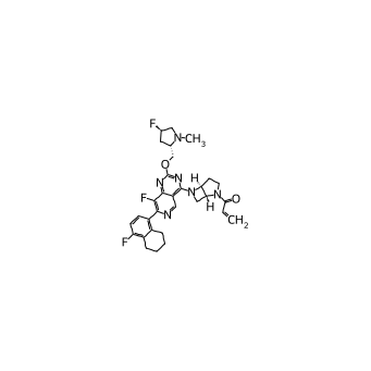 C=CC(=O)N1CC[C@H]2[C@H]1CN2c1nc(OC[C@@H]2C[C@@H](F)CN2C)nc2c(F)c(-c3ccc(F)c4c3CCCC4)ncc12